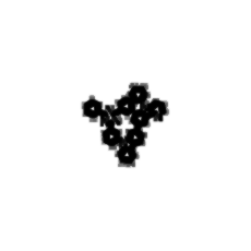 c1ccc(-c2nc(-c3ccccc3)nc(-c3cccc(-n4c5ccccc5c5ccc(-c6ccc7c(c6)c6ncccc6n7-c6ccccc6)cc54)c3)n2)cc1